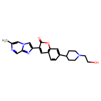 Cc1cn2cc(-c3cc4ccc(C5CCN(CCO)CC5)cc4oc3=O)nc2cn1